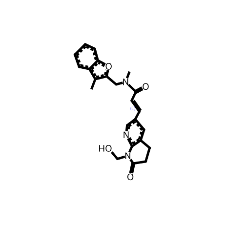 Cc1c(CN(C)C(=O)/C=C/c2cnc3c(c2)CCC(=O)N3CO)oc2ccccc12